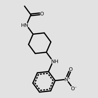 CC(=O)NC1CCC(Nc2ccccc2[N+](=O)[O-])CC1